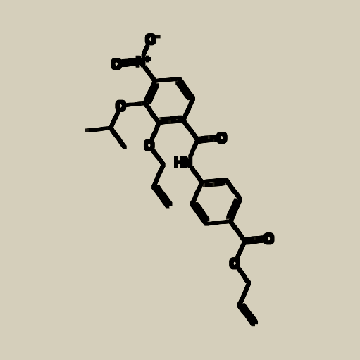 C=CCOC(=O)c1ccc(NC(=O)c2ccc([N+](=O)[O-])c(OC(C)C)c2OCC=C)cc1